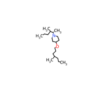 CCCC(C)CCCOC1CCN([C@@H](C)C(C)CCC)CC1